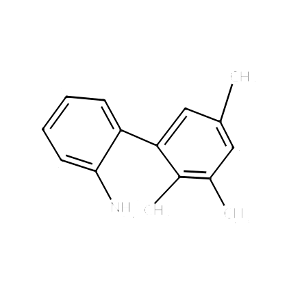 Cc1cc(C)c(C)c(-c2ccccc2N)c1